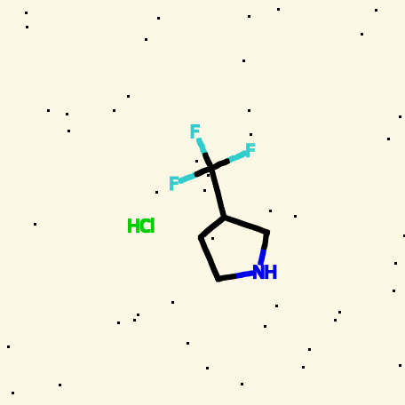 Cl.FC(F)(F)C1CCNC1